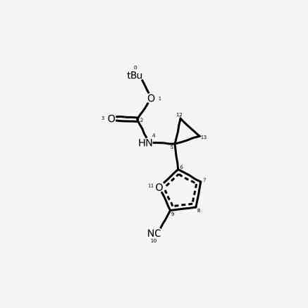 CC(C)(C)OC(=O)NC1(c2ccc(C#N)o2)CC1